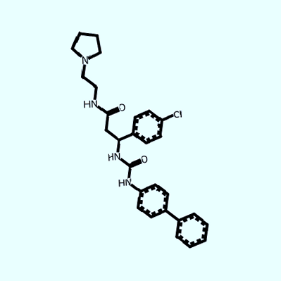 O=C(CC(NC(=O)Nc1ccc(-c2ccccc2)cc1)c1ccc(Cl)cc1)NCCN1CCCC1